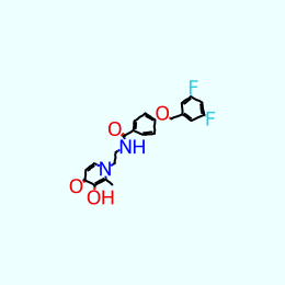 Cc1c(O)c(=O)ccn1CCNC(=O)c1ccc(OCc2cc(F)cc(F)c2)cc1